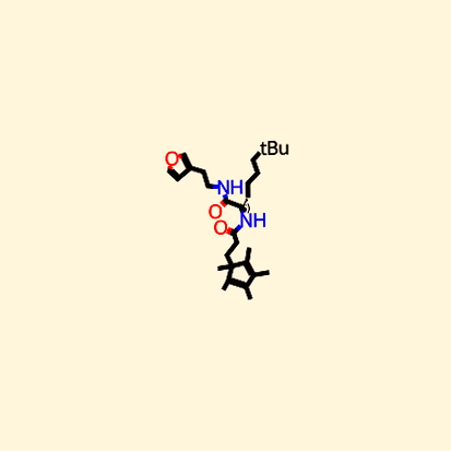 CC1=C(C)C(C)(CCC(=O)N[C@@H](CCCCC(C)(C)C)C(=O)NCCc2ccoc2)C(C)=C1C